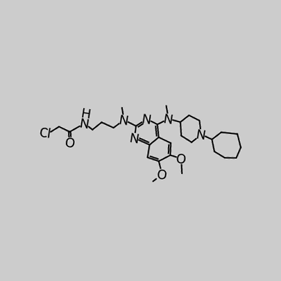 COc1cc2nc(N(C)CCCNC(=O)CCl)nc(N(C)C3CCN(C4CCCCCC4)CC3)c2cc1OC